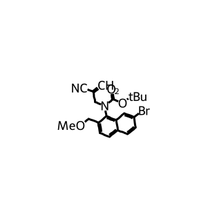 C=C(C#N)CN(C(=O)OC(C)(C)C)c1c(COC)ccc2ccc(Br)cc12